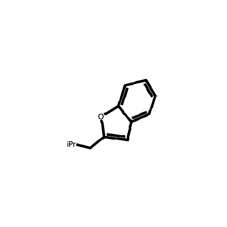 CC(C)Cc1cc2c[c]ccc2o1